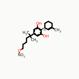 CC1=C[C@@H](c2c(O)cc(C(C)(C)CCCCO[N+](=O)[O-])cc2O)CCC1